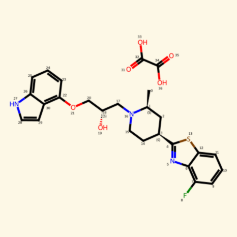 C[C@H]1C[C@@H](c2nc3c(F)cccc3s2)CCN1C[C@H](O)COc1cccc2[nH]ccc12.O=C(O)C(=O)O